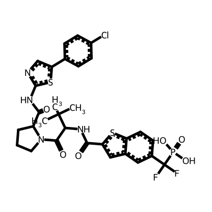 CC(C)(C)C(NC(=O)c1cc2cc(C(F)(F)P(=O)(O)O)ccc2s1)C(=O)N1CCCC1C(=O)Nc1ncc(-c2ccc(Cl)cc2)s1